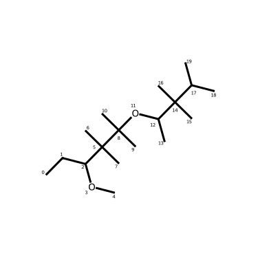 CCC(OC)C(C)(C)C(C)(C)OC(C)C(C)(C)C(C)C